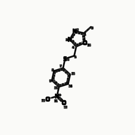 Cc1nnc(CSc2ccc([N+](=O)[O-])cc2)o1